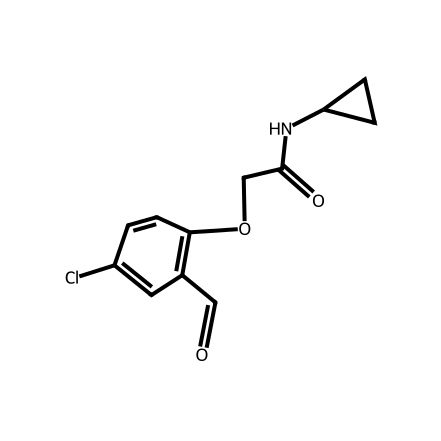 O=Cc1cc(Cl)ccc1OCC(=O)NC1CC1